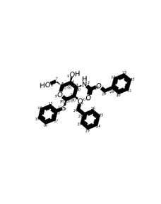 O=C(N[C@H]1[C@H](O)[C@@H](CO)O[C@H](Sc2ccccc2)[C@@H]1OCc1ccccc1)OCc1ccccc1